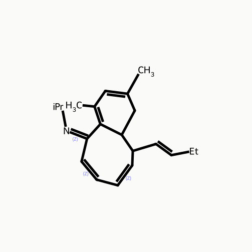 CCC=CC1\C=C/C=C\C(=N\C(C)C)C2=C(C)C=C(C)CC21